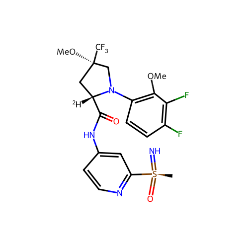 [2H][C@@]1(C(=O)Nc2ccnc([S@](C)(=N)=O)c2)C[C@@](OC)(C(F)(F)F)CN1c1ccc(F)c(F)c1OC